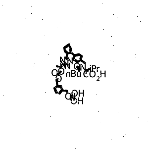 CCCCC(=O)N(Cc1ccc(-c2ccccc2-c2nnn(C(C)OC(=O)OCc3cccc(CON(O)O)c3)n2)cc1)[C@H](C(=O)O)C(C)C